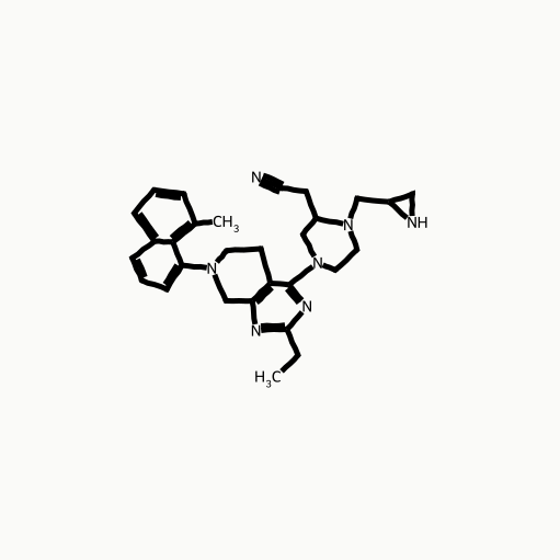 CCc1nc2c(c(N3CCN(CC4CN4)C(CC#N)C3)n1)CCN(c1cccc3cccc(C)c13)C2